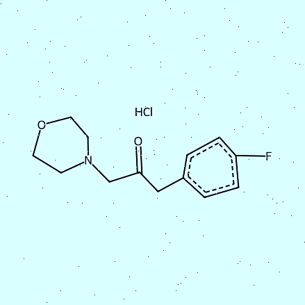 Cl.O=C(Cc1ccc(F)cc1)CN1CCOCC1